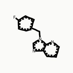 Fc1ccc(Cn2cnc3cccnc32)cc1